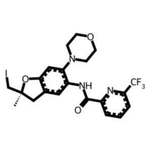 C[C@@]1(CI)Cc2cc(NC(=O)c3cccc(C(F)(F)F)n3)c(N3CCOCC3)cc2O1